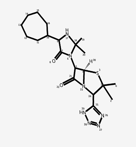 CC1(C)S[C@@H]2C(N3C(=O)C(C4CCCCCC4)NC3(C)C)C(=O)N2C1c1nnn[nH]1